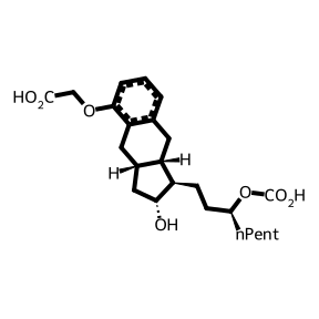 CCCCC[C@@H](CC[C@@H]1[C@H]2Cc3cccc(OCC(=O)O)c3C[C@H]2C[C@H]1O)OC(=O)O